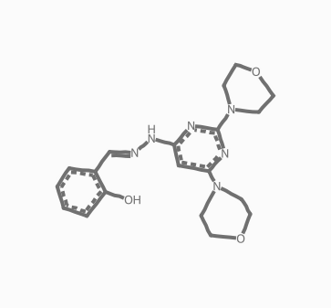 Oc1ccccc1C=NNc1cc(N2CCOCC2)nc(N2CCOCC2)n1